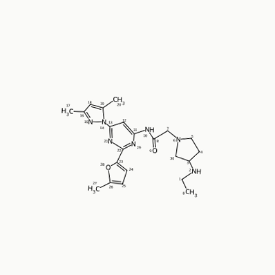 CCNC1CCN(CC(=O)Nc2cc(-n3nc(C)cc3C)nc(-c3ccc(C)o3)n2)C1